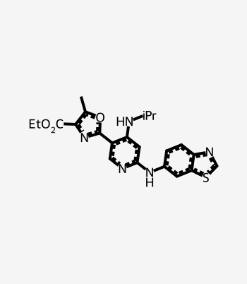 CCOC(=O)c1nc(-c2cnc(Nc3ccc4ncsc4c3)cc2NC(C)C)oc1C